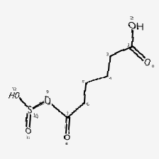 O=C(O)CCCCC(=O)OS(=O)O